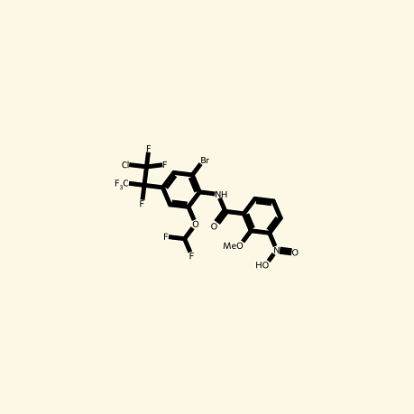 COc1c(C(=O)Nc2c(Br)cc(C(F)(C(F)(F)F)C(F)(F)Cl)cc2OC(F)F)cccc1[N+](=O)O